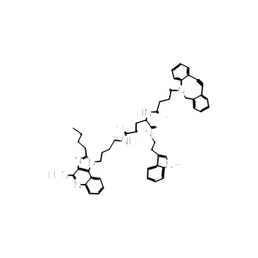 CCCCc1nc2c(N)nc3ccccc3c2n1CCCCNC(=O)CCC(NC(=O)CCC(=O)N1Cc2ccccc2C#Cc2ccccc21)C(=O)NCCc1c[nH]c2ccccc12